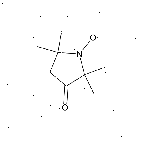 CC1(C)CC(=O)C(C)(C)N1[O]